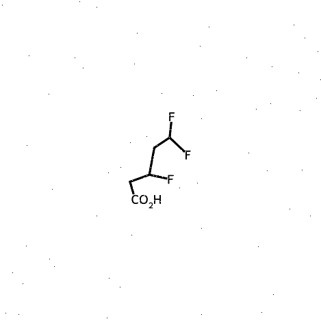 O=C(O)CC(F)CC(F)F